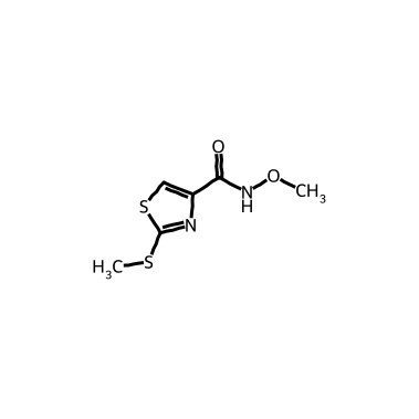 CONC(=O)c1csc(SC)n1